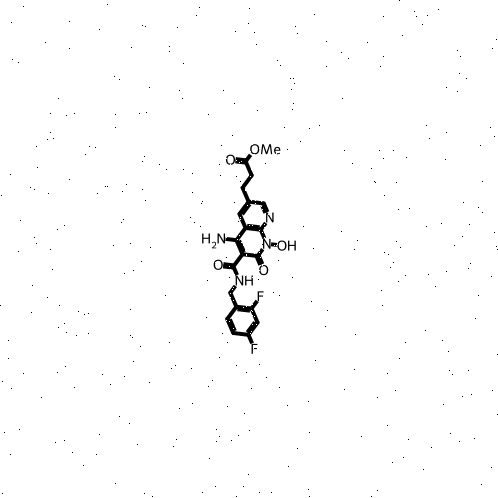 COC(=O)CCc1cnc2c(c1)c(N)c(C(=O)NCc1ccc(F)cc1F)c(=O)n2O